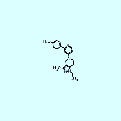 CCn1nc(C)c2c1CCN(c1ccnc(C3=CC=C(C)CC3)c1)C2